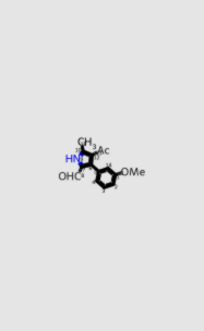 COc1cccc(-c2c(C=O)[nH]c(C)c2C(C)=O)c1